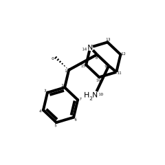 C[C@@H](c1ccccc1)C1C(N)C2CCN1CC2